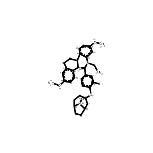 CCN(C(=O)c1ccc(OC2CCC3CCC(C2)N3C)c(F)c1)c1cc(OC)ccc1C1CCc2cc(OC)ccc2C1